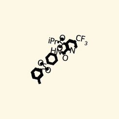 Cc1cccc(S(=O)(=O)[C@H]2CC[C@H](NC(=O)c3ncc(C(F)(F)F)cc3S(=O)(=O)C(C)C)CC2)c1